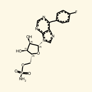 NS(=O)(=O)OC[C@H]1O[C@@H](n2cnc3c(-c4ccc(F)cc4)ncnc32)[C@H](O)[C@@H]1O